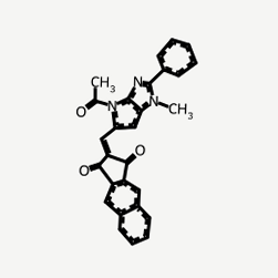 CC(=O)n1c(C=C2C(=O)c3cc4ccccc4cc3C2=O)cc2c1nc(-c1ccccc1)n2C